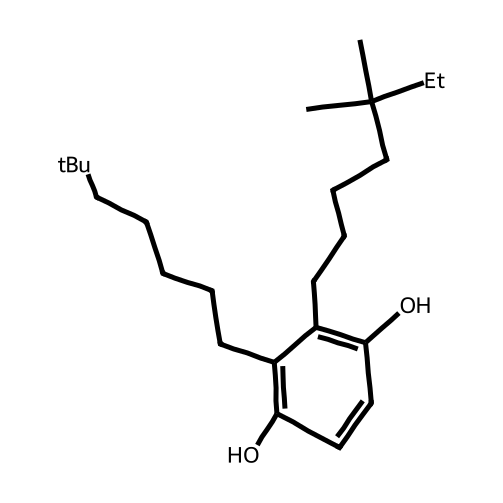 CCC(C)(C)CCCCc1c(O)ccc(O)c1CCCCCC(C)(C)C